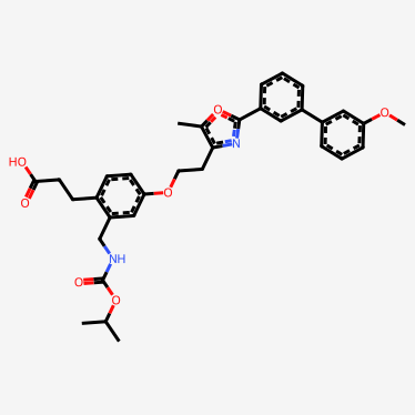 COc1cccc(-c2cccc(-c3nc(CCOc4ccc(CCC(=O)O)c(CNC(=O)OC(C)C)c4)c(C)o3)c2)c1